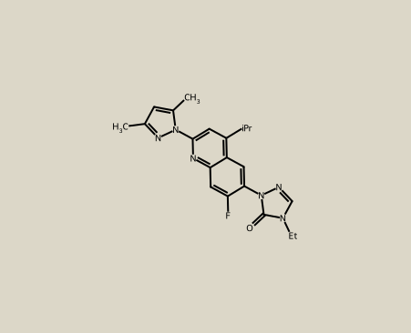 CCn1cnn(-c2cc3c(C(C)C)cc(-n4nc(C)cc4C)nc3cc2F)c1=O